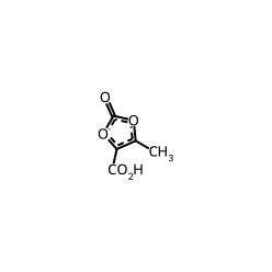 Cc1oc(=O)oc1C(=O)O